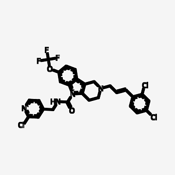 O=C(NCc1ccnc(Cl)c1)n1c2c(c3ccc(OC(F)(F)F)cc31)CN(C/C=C/c1ccc(Cl)cc1Cl)CC2